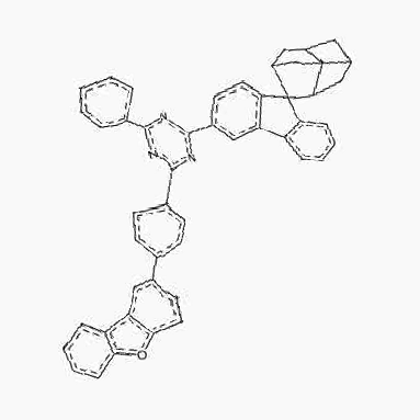 c1ccc(-c2nc(-c3ccc(-c4ccc5oc6ccccc6c5c4)cc3)nc(-c3ccc4c(c3)-c3ccccc3C43C4CC5CC(C4)CC3C5)n2)cc1